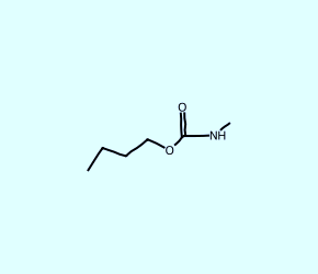 CCCCOC(=O)NC